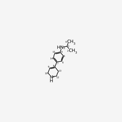 CC(C)Nc1ccc(C2=CCNCC2)cc1